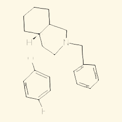 Fc1ccc(O[C@H]2CN(Cc3ccccc3)CC3CCCC[C@H]32)cc1